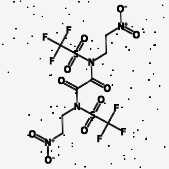 O=C(C(=O)N(CC[N+](=O)[O-])S(=O)(=O)C(F)(F)F)N(CC[N+](=O)[O-])S(=O)(=O)C(F)(F)F